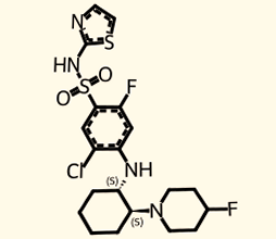 O=S(=O)(Nc1nccs1)c1cc(Cl)c(N[C@H]2CCCC[C@@H]2N2CCC(F)CC2)cc1F